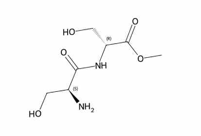 COC(=O)[C@@H](CO)NC(=O)[C@@H](N)CO